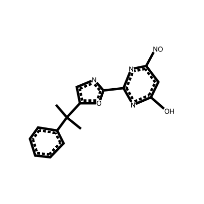 CC(C)(c1ccccc1)c1cnc(-c2nc(O)cc(N=O)n2)o1